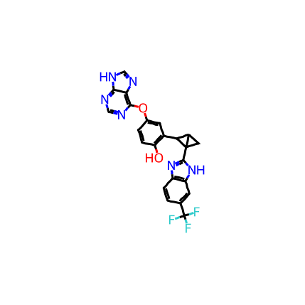 Oc1ccc(Oc2ncnc3[nH]cnc23)cc1C1C2CC21c1nc2ccc(C(F)(F)F)cc2[nH]1